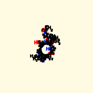 C=CC(=O)N1CC[C@H](C(=O)N(C)[C@H](C(=O)N[C@H]2Cc3cc(O)cc(c3)-c3ccc4c(c3)c(c(-c3c(C)cncc3C)n4CC)CC(C)(C)COC(=O)[C@@H]3CCCN(N3)C2=O)C(C)C)C1